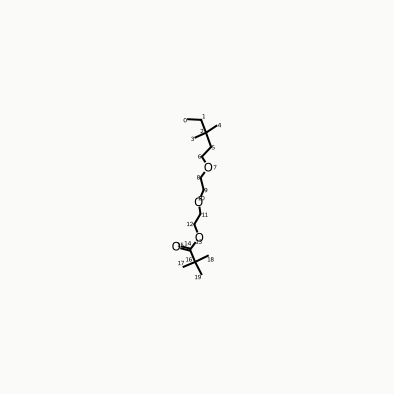 CCC(C)(C)CCOCCOCCOC(=O)C(C)(C)C